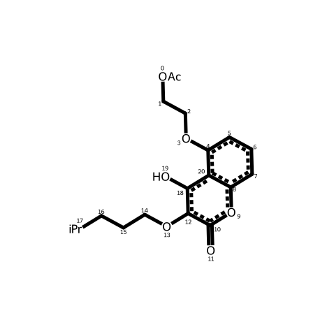 CC(=O)OCCOc1cccc2oc(=O)c(OCCCC(C)C)c(O)c12